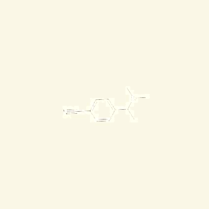 C[CH](c1ccc(C#N)cc1)[Bi]([CH3])[CH3]